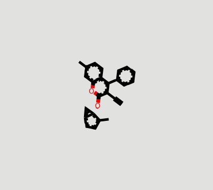 C#Cc1c(-c2ccccc2)c2ccc(C)cc2oc1=O.Cc1ccc2cc1-2